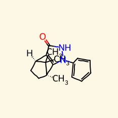 CC1(C)[C@H]2CC[C@]1(C)c1c2c(=O)[nH]n1-c1ccccc1